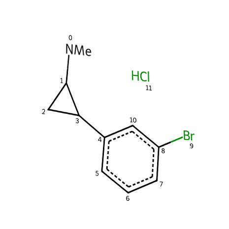 CNC1CC1c1cccc(Br)c1.Cl